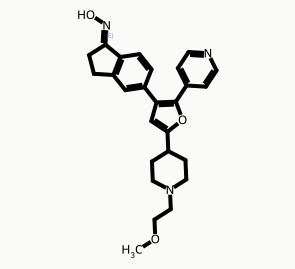 COCCN1CCC(c2cc(-c3ccc4c(c3)CC/C4=N\O)c(-c3ccncc3)o2)CC1